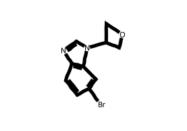 Brc1ccc2ncn(C3COC3)c2c1